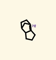 C1CC2=C3CCC(C3)C2C1.I